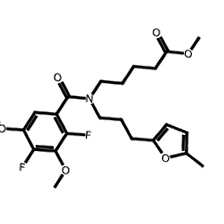 COC(=O)CCCCN(CCCc1ccc(C)o1)C(=O)c1cc(OC)c(F)c(OC)c1F